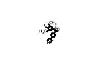 CCc1cc(-c2nocc2-c2ccc(-c3ccncc3)cc2)cc(CC)c1CC